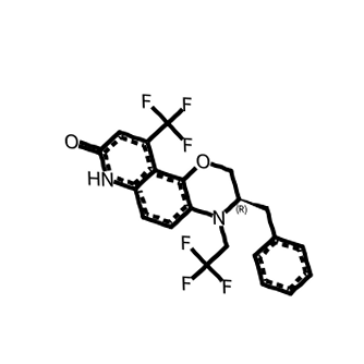 O=c1cc(C(F)(F)F)c2c3c(ccc2[nH]1)N(CC(F)(F)F)[C@H](Cc1ccccc1)CO3